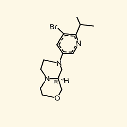 CC(C)c1ncc(N2CCN3CCOC[C@@H]3C2)cc1Br